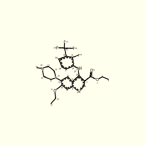 CCOC(=O)c1cnc2cc(OCC)c(N3CCN(C)CC3)cc2c1Nc1cccc(C(F)(F)F)c1F